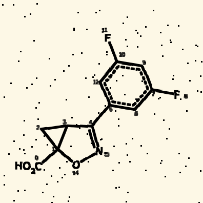 O=C(O)C12CC1C(c1cc(F)cc(F)c1)=NO2